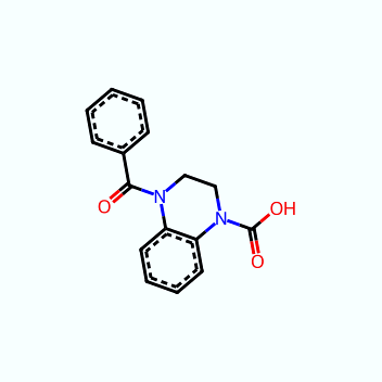 O=C(O)N1CCN(C(=O)c2ccccc2)c2ccccc21